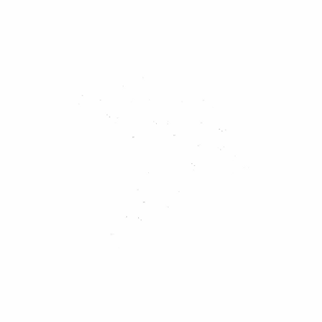 Cc1cc(C)c(CNC(=O)c2cc(-c3ccc(N4CCOCC4)nc3)nc3c2c(C)nn3C2CC2)c(=O)[nH]1